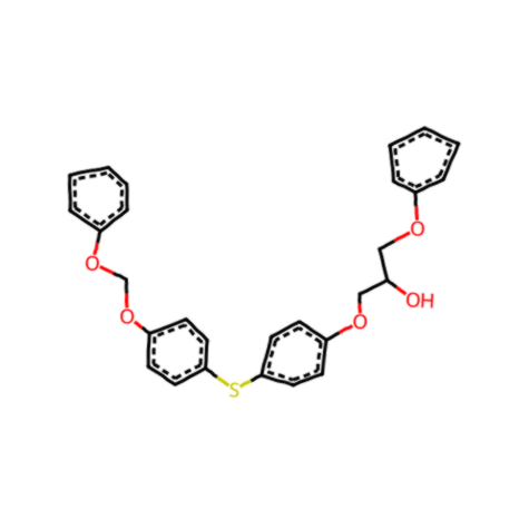 OC(COc1ccccc1)COc1ccc(Sc2ccc(OCOc3ccccc3)cc2)cc1